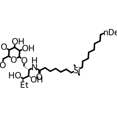 CCCCCCCCCCCCCCCCCC[Si](C)(C)CCCCCCC(=O)N[C@@H](COC1OC(CO)C(O)C(O)C1O)[C@H](O)[C@H](O)CC